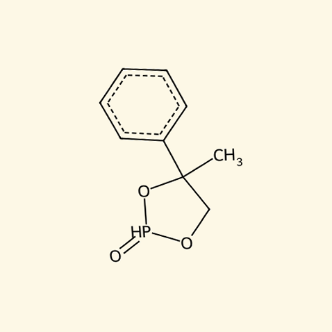 CC1(c2ccccc2)CO[PH](=O)O1